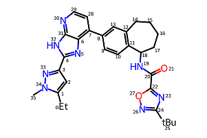 CCc1cc(-c2nc3c(-c4ccc5c(c4)CCCCC5NC(=O)c4nc(C(C)(C)C)no4)ccnc3[nH]2)nn1C